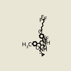 Cc1ccc(C2=C(C(=O)NSC3CC3)C(=O)N[C@@](c3ccc(OCCCCCC(F)(F)F)cc3)(C(F)(F)F)C2)cc1